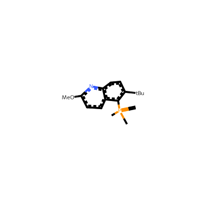 C=P(C)(C)c1c(C(C)(C)C)ccc2nc(OC)ccc12